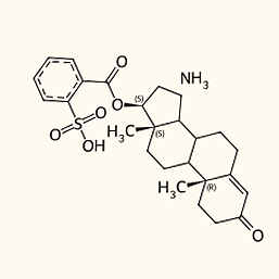 C[C@]12CCC(=O)C=C1CCC1C2CC[C@@]2(C)C1CC[C@@H]2OC(=O)c1ccccc1S(=O)(=O)O.N